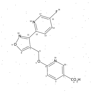 O=C(O)c1ccc(OCc2conc2-c2ccc(F)cn2)nc1